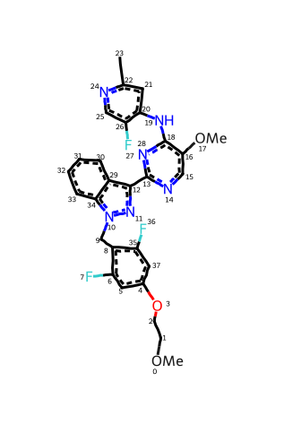 COCCOc1cc(F)c(Cn2nc(-c3ncc(OC)c(Nc4cc(C)ncc4F)n3)c3ccccc32)c(F)c1